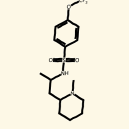 CC(CC1CCCCN1C)NS(=O)(=O)c1ccc(OC(F)(F)F)cc1